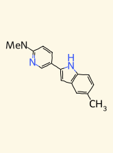 CNc1ccc(-c2cc3cc(C)ccc3[nH]2)cn1